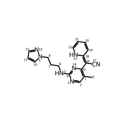 Cc1cnc(NCCCn2cccn2)nc1/C(C#N)=C1/C=CC=CN1